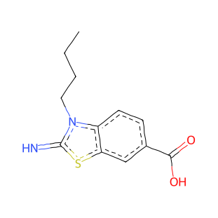 CCCCn1c(=N)sc2cc(C(=O)O)ccc21